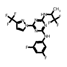 CC(Nc1nc(Nc2cc(F)cc(F)c2)nc(-n2ccc(C(F)(F)F)n2)n1)C(F)(F)F